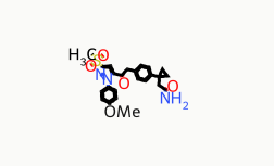 COc1ccc(-n2nc(S(C)(=O)=O)cc2C(=O)Cc2ccc(C3(CC(N)=O)CC3)cc2)cc1